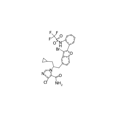 NC(=O)c1c(Cl)ncn1C(Cc1ccc2oc(-c3ccccc3NS(=O)(=O)C(F)(F)F)c(Br)c2c1)CC1CC1